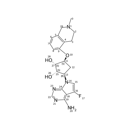 CN1CCc2c(cccc2O[C@H]2C[C@@H](n3cc(F)c4c(N)ncnc43)[C@H](O)[C@@H]2O)C1